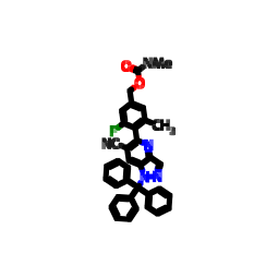 CNC(=O)OCc1cc(C)c(-c2nc3cnn(C(c4ccccc4)(c4ccccc4)c4ccccc4)c3cc2C#N)c(F)c1